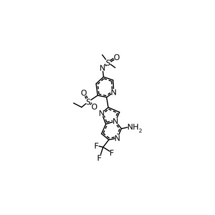 CCS(=O)(=O)c1cc(N=S(C)(C)=O)cnc1-c1cn2c(N)nc(C(F)(F)F)cc2n1